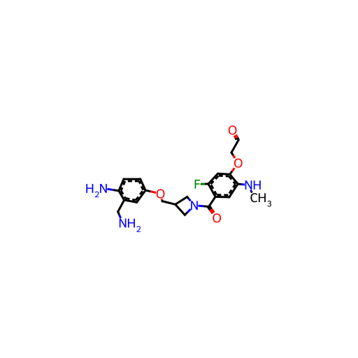 CNc1cc(C(=O)N2CC(COc3ccc(N)c(CN)c3)C2)c(F)cc1OCC=O